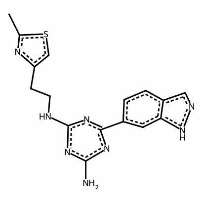 Cc1nc(CCNc2nc(N)nc(-c3ccc4cn[nH]c4c3)n2)cs1